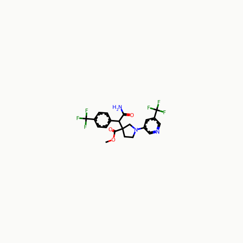 COC(=O)C1(C(C(N)=O)c2ccc(C(F)(F)F)cc2)CCN(c2cncc(C(F)(F)F)c2)C1